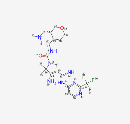 CN(C)C[C@@H](NC(=O)N1CC(C(=N)Nc2ccnc(C(F)(F)F)n2)=C(N)C1(C)C)C1CCOCC1